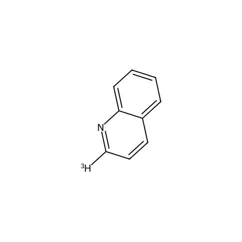 [3H]c1ccc2ccccc2n1